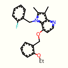 CCOc1ccccc1COc1ccnc2c(C)c(C)n(Cc3ccccc3F)c12